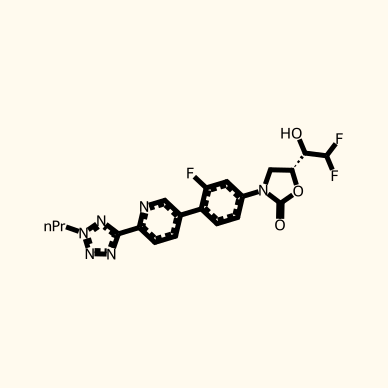 CCCn1nnc(-c2ccc(-c3ccc(N4C[C@H](C(O)C(F)F)OC4=O)cc3F)cn2)n1